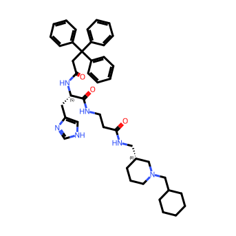 O=C(CCNC(=O)[C@H](Cc1c[nH]cn1)NC(=O)CC(c1ccccc1)(c1ccccc1)c1ccccc1)NC[C@H]1CCCN(CC2CCCCC2)C1